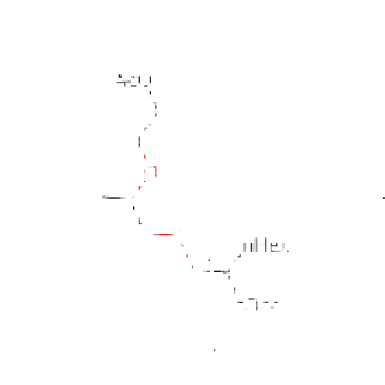 CCCCCCCCCCC(CCCCCC)COCC(C)OCCOC(C)=O